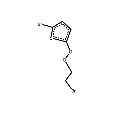 BrCCOOc1ccc(Br)s1